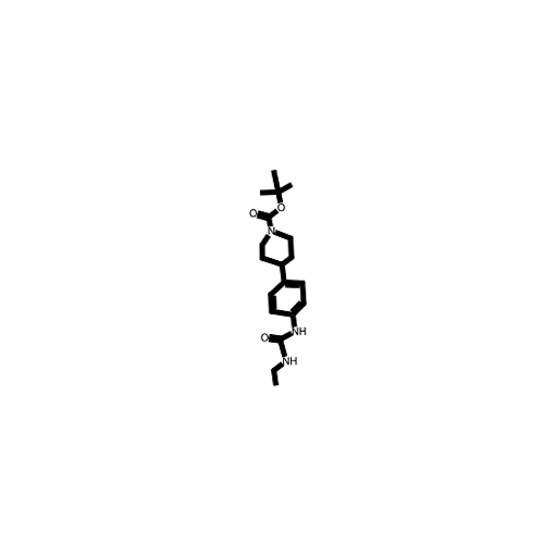 CCNC(=O)Nc1ccc(C2CCN(C(=O)OC(C)(C)C)CC2)cc1